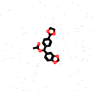 CC(=O)OC(c1ccc(C2OCCO2)cc1)c1ccc2c(c1)OCO2